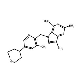 Cc1cc(C2CCNCC2)cnc1Cn1nc(C)c2nc(N)nc(C)c21